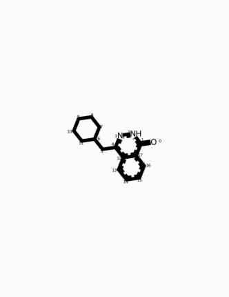 O=c1[nH]nc(CC2CCCCC2)c2ccccc12